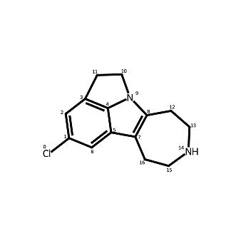 Clc1cc2c3c(c1)c1c(n3CC2)CCNCC1